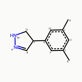 Cc1cc(C)cc(C2C=NNC2)c1